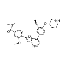 COc1cc(C(=O)N(C)C)ccc1-c1cc2nccc(-c3ccc(OC4CCCNC4)c(C#N)c3)c2o1